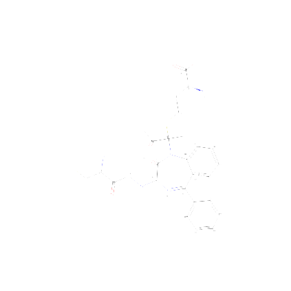 CC(=O)C(C)(SCC[C@H](N)C(=O)O)N1C(=O)C(NCC(=O)C(N)CS)N=C(c2ccccc2)c2ccccc21